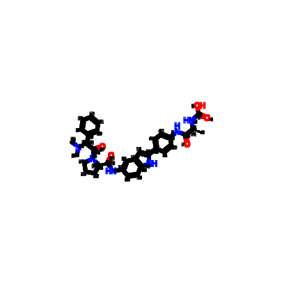 C[C@@H](NC(=O)O)C(=O)Nc1ccc(-c2cc3cc(NC(=O)[C@H]4CCCN4C(=O)[C@@H](c4ccccc4)N(C)C)ccc3[nH]2)cc1